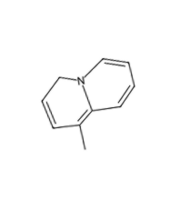 CC1=C2C=CC=CN2CC=C1